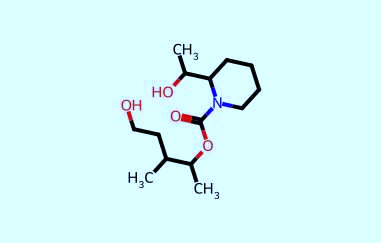 CC(O)C1CCCCN1C(=O)OC(C)C(C)CCO